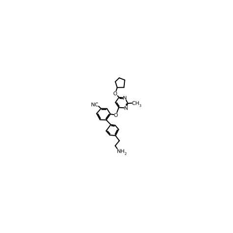 Cc1nc(Oc2cc(C#N)ccc2-c2ccc(CCN)cc2)cc(OC2CCCC2)n1